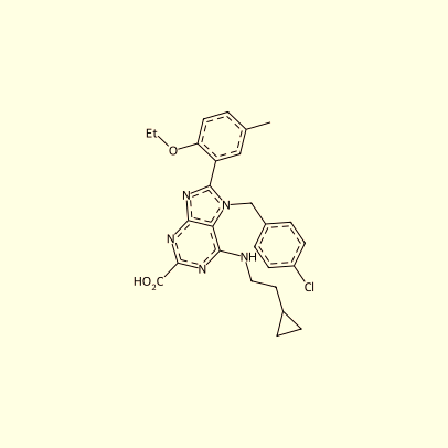 CCOc1ccc(C)cc1-c1nc2nc(C(=O)O)nc(NCCC3CC3)c2n1Cc1ccc(Cl)cc1